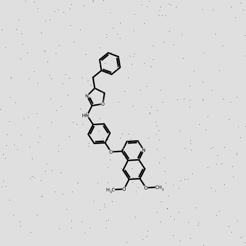 COc1cc2nccc(Oc3ccc(NC4=NC(Cc5ccccc5)CO4)cc3)c2cc1OC